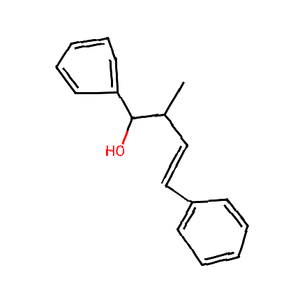 CC(C=Cc1ccccc1)C(O)c1ccccc1